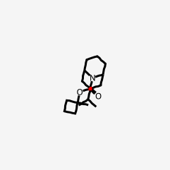 CC(C)C1CC2CCCC(C1)N2C(=O)OC1(C)CCC1